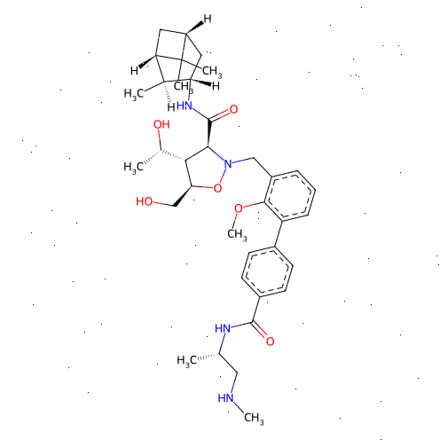 CNC[C@H](C)NC(=O)c1ccc(-c2cccc(CN3O[C@@H](CO)[C@H]([C@H](C)O)[C@H]3C(=O)N[C@H]3C[C@H]4C[C@@H]([C@@H]3C)C4(C)C)c2OC)cc1